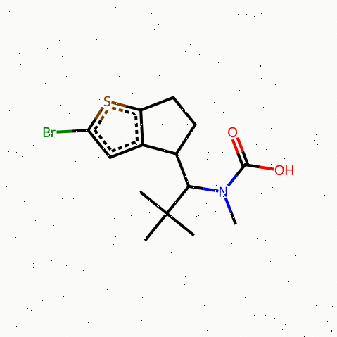 CN(C(=O)O)C(C1CCc2sc(Br)cc21)C(C)(C)C